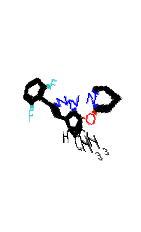 CC1(C)[C@H]2CC[C@]1(Oc1ccccn1)c1nnc(-c3c(F)cccc3F)cc12